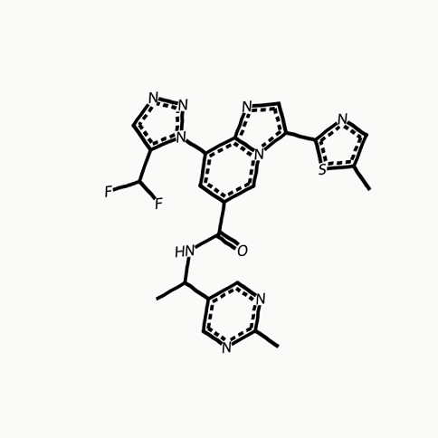 Cc1ncc(C(C)NC(=O)c2cc(-n3nncc3C(F)F)c3ncc(-c4ncc(C)s4)n3c2)cn1